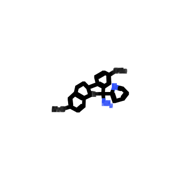 CCC(N)(c1ccccn1)c1cc(OC)ccc1C1CCc2cc(OC)ccc2C1